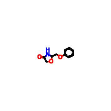 O=C1COC(COc2ccccc2)N1